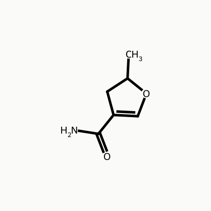 CC1CC(C(N)=O)=CO1